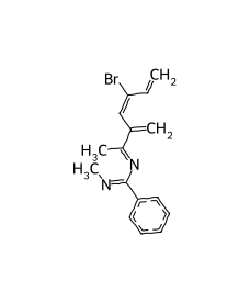 C=C/C(Br)=C\C(=C)/C(C)=N/C(=N\C)c1ccccc1